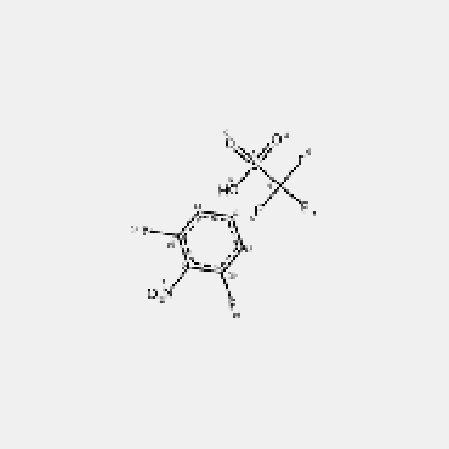 O=S(=O)(O)C(F)(F)F.O=[N+]([O-])c1c(F)cccc1F